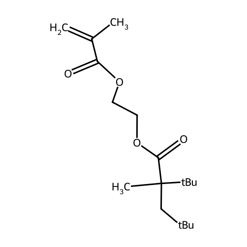 C=C(C)C(=O)OCCOC(=O)C(C)(CC(C)(C)C)C(C)(C)C